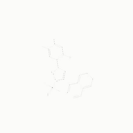 Fc1cc(F)c(-c2cc(-c3cccc4ccccc34)n(C(F)(F)F)n2)cc1F